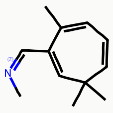 C/N=C\C1=CC(C)(C)C=CC=C1C